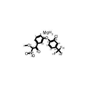 COC(C(=O)c1cccc(Oc2ccc(C(F)(F)F)cc2Cl)c1)[N+](=O)[O-].[MgH2]